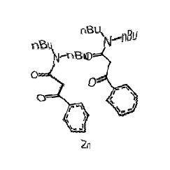 CCCCN(CCCC)C(=O)CC(=O)c1ccccc1.CCCCN(CCCC)C(=O)CC(=O)c1ccccc1.[Zn]